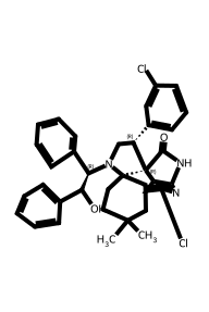 CC1(C)CCC2(CC1)N([C@H](c1ccccc1)C(O)c1ccccc1)C[C@H](c1cccc(Cl)c1)[C@]21C(=O)Nc2nc(Cl)ccc21